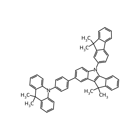 CC1(C)c2ccccc2-c2ccc(-n3c4c(c5cc(-c6ccc(N7c8ccccc8C(C)(C)c8ccccc87)cc6)ccc53)C(C)(C)c3ccccc3-4)cc21